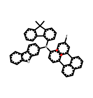 CC1(C)c2ccccc2-c2c(N(c3ccc(-c4cccc5cccc(-c6cccc(F)c6)c45)cc3)c3ccc4c(c3)oc3ccccc34)cccc21